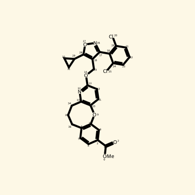 COC(=O)c1ccc2c(c1)Oc1ccc(OCc3c(-c4c(Cl)cccc4Cl)noc3C3CC3)nc1CCC2